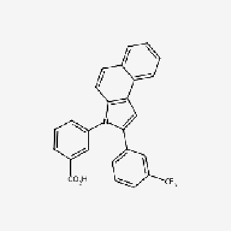 O=C(O)c1cccc(-n2c(-c3cccc(C(F)(F)F)c3)cc3c4ccccc4ccc32)c1